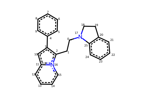 [CH](Cc1c(-c2ccccc2)cc2ccccn12)N1CCc2ccccc21